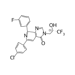 O=c1c2cc(-c3ccc(Cl)cc3)nc(-c3cccc(F)c3)c2ncn1C[C@H](O)C(F)(F)F